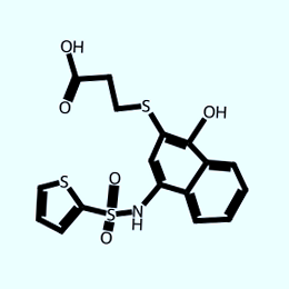 O=C(O)CCSc1cc(NS(=O)(=O)c2cccs2)c2ccccc2c1O